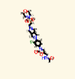 CC(=O)NCC1CN(c2ccc(N3CC4CN(CCS(=O)(=O)N5CCOCC5)CC4C3)c(F)c2)C(=O)O1